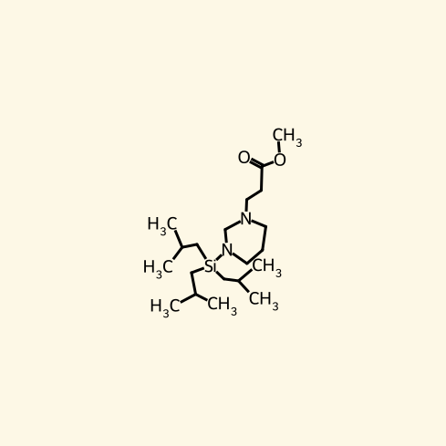 COC(=O)CCN1CCCN([Si](CC(C)C)(CC(C)C)CC(C)C)C1